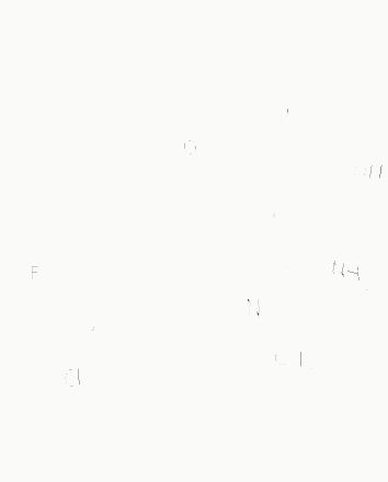 Cn1c(N)c(C(=O)O)c(=O)c2cc(F)c(Cl)cc21